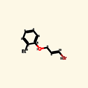 CCc1ccccc1OCC=CBr